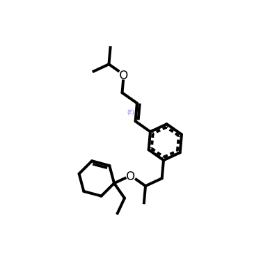 CCC1(OC(C)Cc2cccc(/C=C/COC(C)C)c2)C=CCCC1